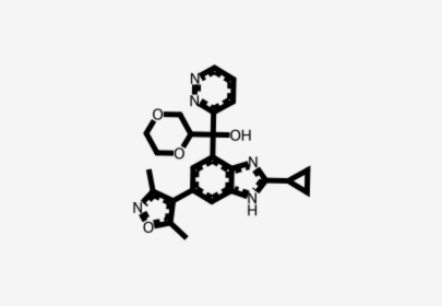 Cc1noc(C)c1-c1cc(C(O)(c2cccnn2)C2COCCO2)c2nc(C3CC3)[nH]c2c1